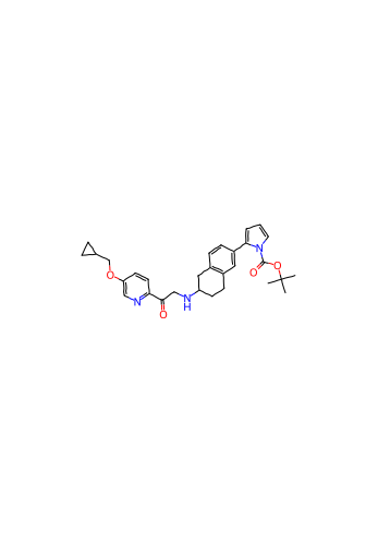 CC(C)(C)OC(=O)n1cccc1-c1ccc2c(c1)CCC(NCC(=O)c1ccc(OCC3CC3)cn1)C2